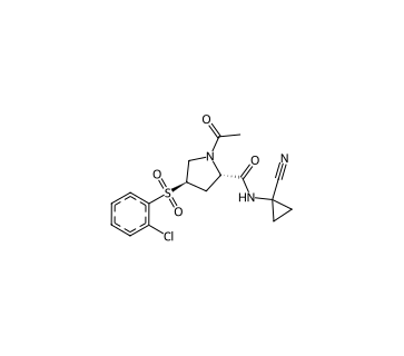 CC(=O)N1C[C@H](S(=O)(=O)c2ccccc2Cl)C[C@H]1C(=O)NC1(C#N)CC1